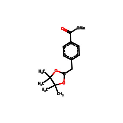 COC(=O)c1ccc(CB2OC(C)(C)C(C)(C)O2)cc1